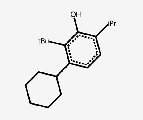 CC(C)c1ccc(C2CCCCC2)c(C(C)(C)C)c1O